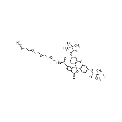 CC(C)(C)C(=O)Oc1ccc2c(c1)Oc1cc(OC(=O)C(C)(C)C)ccc1C21OC(=O)c2ccc(C(=O)NCCOCCOCCOCCN=[N+]=[N-])cc21